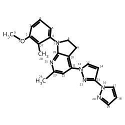 COc1cccc(N2CCc3c(-n4ccc(-n5cccn5)n4)cc(C)nc32)c1C